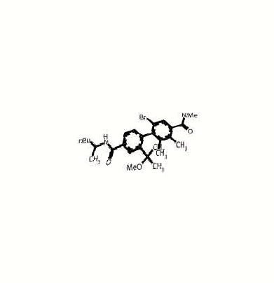 CCCCC(C)NC(=O)c1ccc(-c2c(Br)cc(C(=O)NC)c(C)c2C)c(C(C)(C)OC)c1